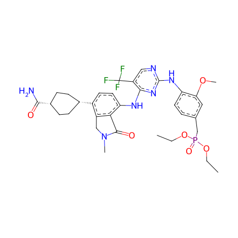 CCOP(=O)(Cc1ccc(Nc2ncc(C(F)(F)F)c(Nc3ccc([C@H]4CC[C@@H](C(N)=O)CC4)c4c3C(=O)N(C)C4)n2)c(OC)c1)OCC